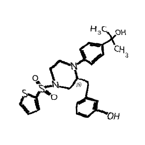 CC(C)(O)c1ccc(N2CCN(S(=O)(=O)c3cccs3)C[C@@H]2Cc2cccc(O)c2)cc1